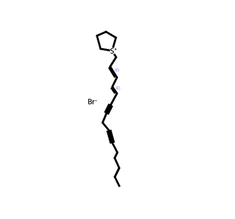 CCCCCC#CCC#C/C=C/C=C/C[S+]1CCCC1.[Br-]